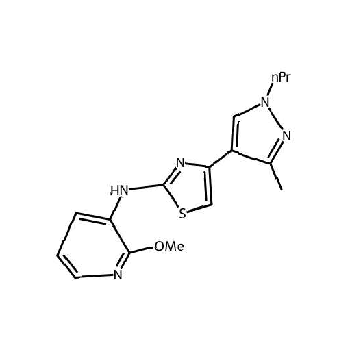 CCCn1cc(-c2csc(Nc3cccnc3OC)n2)c(C)n1